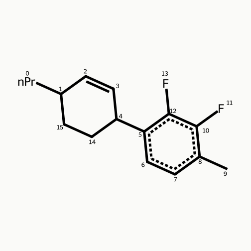 CCCC1C=CC(c2ccc(C)c(F)c2F)CC1